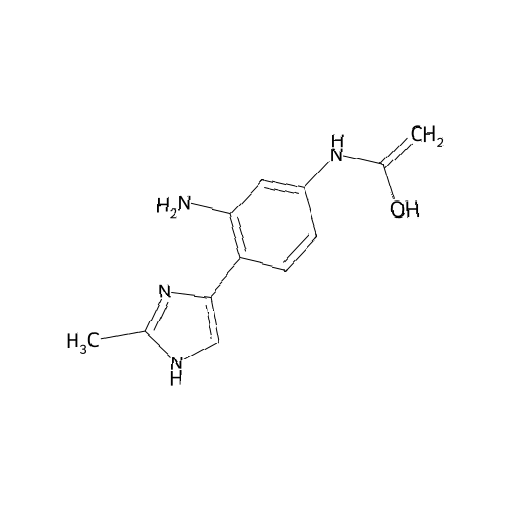 C=C(O)Nc1ccc(-c2c[nH]c(C)n2)c(N)c1